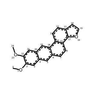 COc1cc2cc3ccc4c(ccc5ccoc54)c3cc2cc1OC